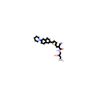 CCC(O)CNC(=O)/C(C#N)=C/c1ccc(-c2ccc3cc(N4CCCCC4)ccc3c2)s1